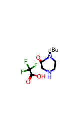 CCCCN1CCNCC1=O.O=C(O)C(F)(F)F